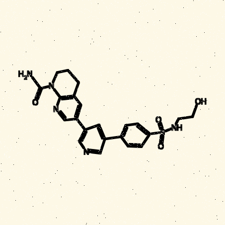 NC(=O)N1CCCc2cc(-c3cncc(-c4ccc(S(=O)(=O)NCCO)cc4)c3)cnc21